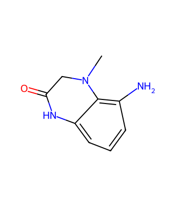 CN1CC(=O)Nc2cccc(N)c21